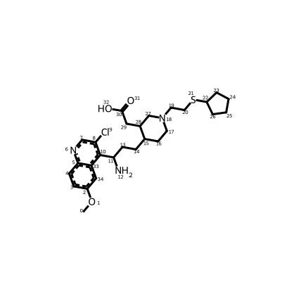 COc1ccc2ncc(Cl)c(C(N)CCC3CCN(CCSC4CCCC4)CC3CC(=O)O)c2c1